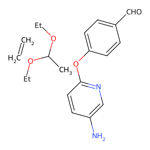 C=C.CCOC(C)OCC.Nc1ccc(Oc2ccc(C=O)cc2)nc1